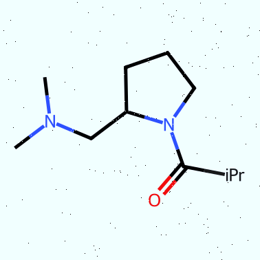 CC(C)C(=O)N1CCCC1CN(C)C